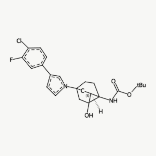 CC(C)(C)OC(=O)NC12CCC(n3ccc(-c4ccc(Cl)c(F)c4)c3)(CC1)C[C@@H]2O